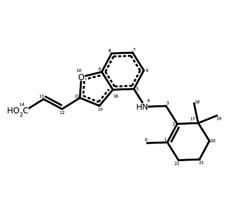 CC1=C(CNc2cccc3oc(C=CC(=O)O)cc23)C(C)(C)CCC1